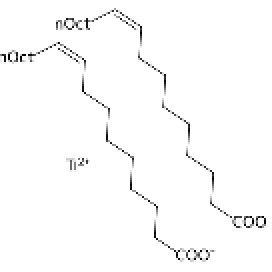 CCCCCCCC/C=C\CCCCCCCC(=O)[O-].CCCCCCCC/C=C\CCCCCCCC(=O)[O-].[Ti+2]